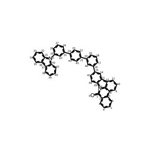 O=c1c2ccccc2c2cccc3c4cc(-c5cccc(-c6ccc(-c7cccc(-n8c9ccccc9c9ccccc98)c7)cc6)c5)ccc4n1c23